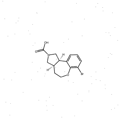 O=C(O)N1C[C@@H]2CCOc3c(Br)cccc3[C@@H]2C1